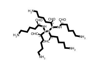 NCCCC[C@@H](C=O)NN([C@H](C=O)CCCCN)N([C@H](C=O)CCCCN)N(N[C@H](C=O)CCCCN)[C@H](C=O)CCCCN